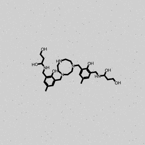 Cc1cc(CNC(O)CCO)c(O)c(CN2CCNCCN(Cc3cc(C)cc(CNC(O)CCO)c3O)CC2)c1